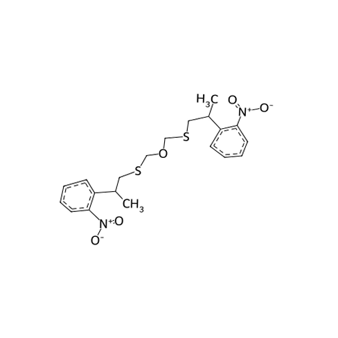 CC(CSCOCSCC(C)c1ccccc1[N+](=O)[O-])c1ccccc1[N+](=O)[O-]